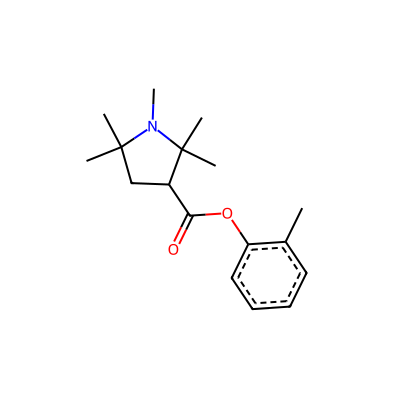 Cc1ccccc1OC(=O)C1CC(C)(C)N(C)C1(C)C